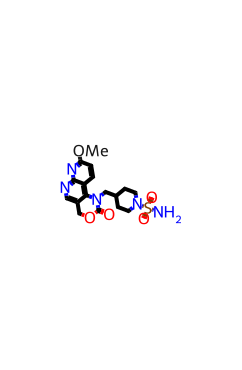 COc1ccc2c3c(cnc2n1)COC(=O)N3CC1CCN(S(N)(=O)=O)CC1